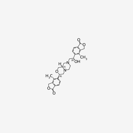 Cc1c([C@@H]2CN3CCN(C[C@H](O)c4ccc5c(c4C)COC5=O)C[C@H]3CO2)ccc2c1COC2=O